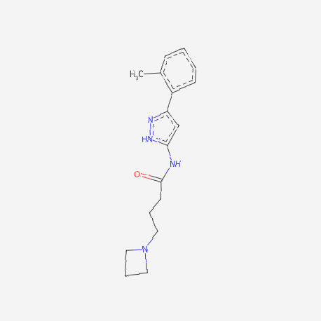 Cc1ccccc1-c1cc(NC(=O)CCCN2CCC2)[nH]n1